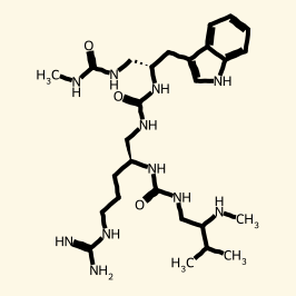 CNC(=O)NC[C@H](Cc1c[nH]c2ccccc12)NC(=O)NC[C@H](CCCNC(=N)N)NC(=O)NCC(NC)C(C)C